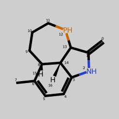 C=C1NC2=CC=C(C)[C@@H]3CCCPC1[C@H]23